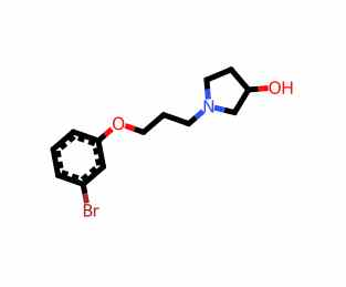 OC1CCN(CCCOc2cccc(Br)c2)C1